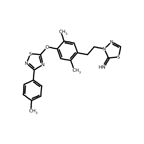 Cc1ccc(-c2nsc(Oc3cc(C)c(CCn4ncsc4=N)cc3C)n2)cc1